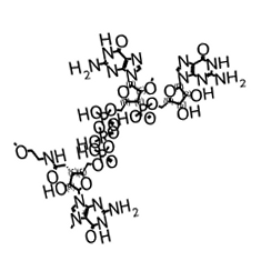 COCCNC(=O)C[C@@H]1[C@@H](COP(=O)(O)OP(=O)(O)OP(=O)(O)OC[C@H]2O[C@@H](n3cnc4c(=O)[nH]c(N)nc43)[C@H](OC)[C@@H]2P(=O)(O)OC[C@H]2O[C@@H](n3cnc4c(=O)[nH]c(N)nc43)[C@H](O)[C@@H]2O)OC(n2c[n+](C)c3c(=O)[nH]c(N)nc32)[C@@H]1O